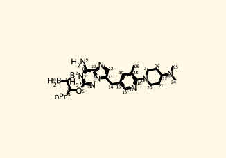 BC(B)C(CCC)Oc1nc(N)c2ncc(Cc3cnc(N4CCC(N(C)C)CC4)c(C)c3)n2n1